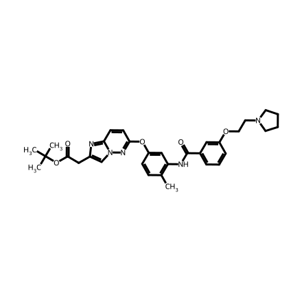 Cc1ccc(Oc2ccc3nc(CC(=O)OC(C)(C)C)cn3n2)cc1NC(=O)c1cccc(OCCN2CCCC2)c1